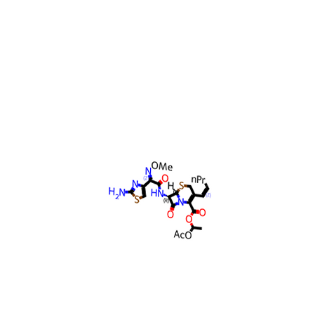 CCC/C=C\C1=C(C(=O)OC(C)OC(C)=O)N2C(=O)[C@@H](NC(=O)/C(=N\OC)c3csc(N)n3)[C@H]2SC1